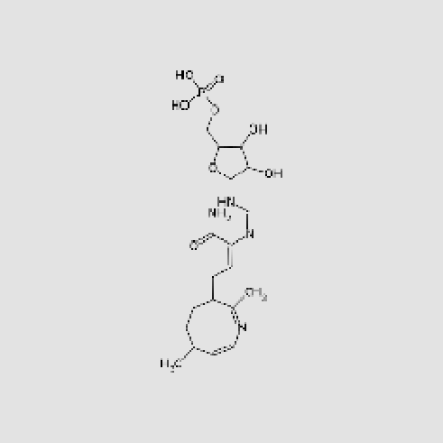 C/C1=N/C=C\C(C)CCC1C/C=C(/N=C\NC1OC(COP(=O)(O)O)C(O)C1O)C(N)=O